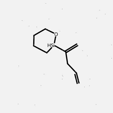 C=CCC(=C)[SiH]1CCCCO1